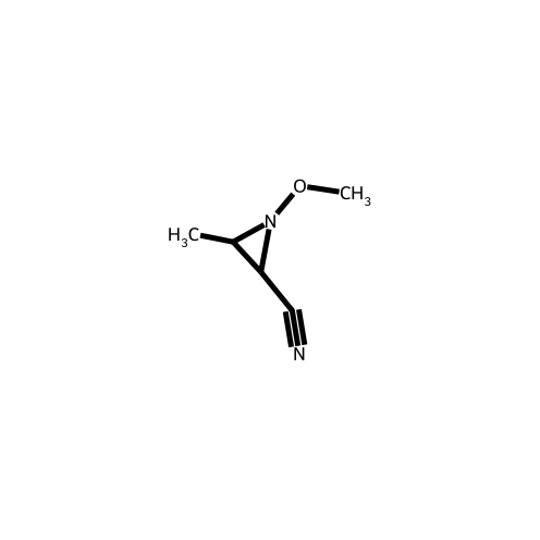 CON1C(C)C1C#N